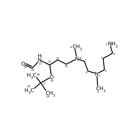 CN(CCCN)CCN(C)CCC(NC=O)OC(C)(C)C